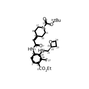 CCOC(=O)c1ccc(NC(=O)C=C2CCN(C(=O)OC(C)(C)C)CC2)c(NC[C@@H]2CCO2)c1F